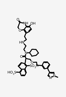 Cn1cc(-c2cccc(CCOCC(C(=O)N(CCNCCc3ccc(O)c4c3OCC(=O)N4)C3CCCCC3)c3ccc4c(S(=O)(=O)O)cccc4c3S(=O)(=O)O)c2)cn1